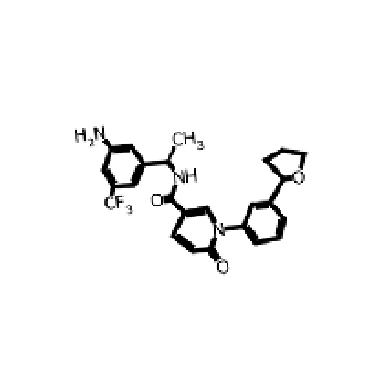 C[C@@H](NC(=O)c1ccc(=O)n(-c2cccc(C3CCCO3)c2)c1)c1cc(N)cc(C(F)(F)F)c1